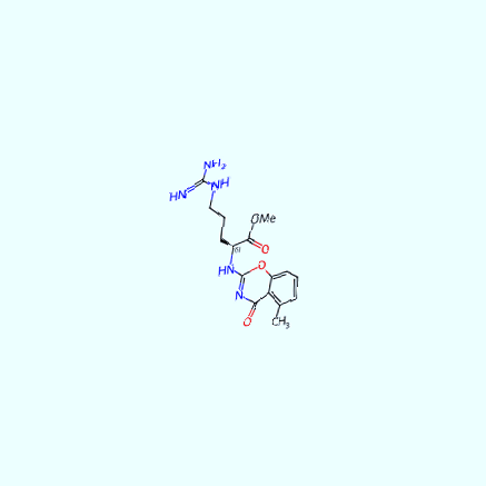 COC(=O)[C@H](CCCNC(=N)N)Nc1nc(=O)c2c(C)cccc2o1